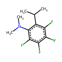 CC(C)c1c(F)c(F)c(F)c(F)c1N(C)C